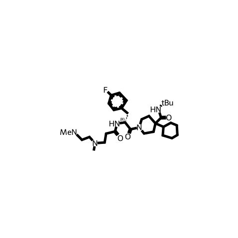 CNCCN(C)CCC(=O)N[C@H](Cc1ccc(F)cc1)C(=O)N1CCC(C(=O)NC(C)(C)C)(C2CCCCC2)CC1